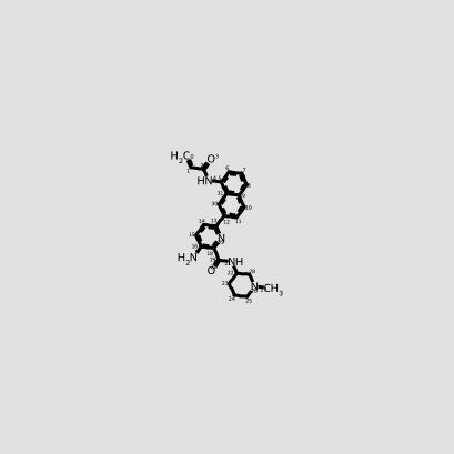 C=CC(=O)Nc1cccc2ccc(-c3ccc(N)c(C(=O)NC4CCCN(C)C4)n3)cc12